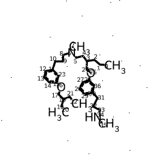 CCCC(CCN(C)CCCc1cccc(OCC(CC)CC)c1)COc1cccc(CCCNC)c1